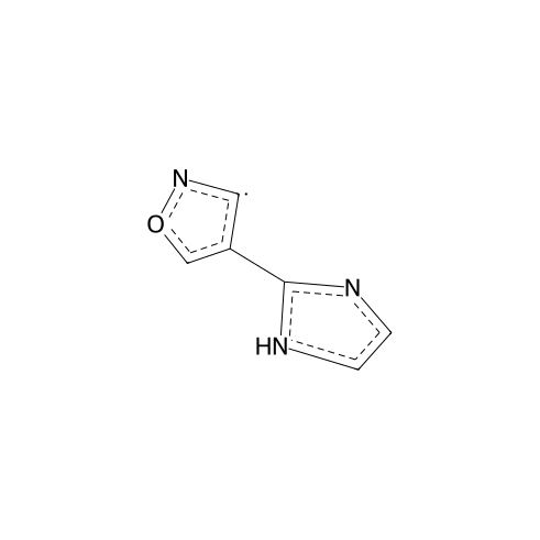 [c]1nocc1-c1ncc[nH]1